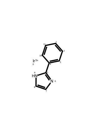 [Ir+3].c1ccc(-c2ncc[nH]2)cc1